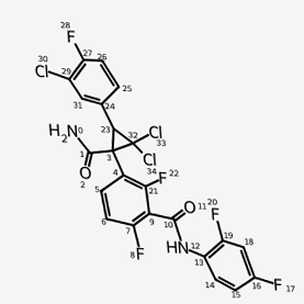 NC(=O)C1(c2ccc(F)c(C(=O)Nc3ccc(F)cc3F)c2F)C(c2ccc(F)c(Cl)c2)C1(Cl)Cl